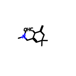 C=C1CC(C)(C)C=C(CN(C)C)C1C=O